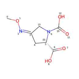 CON=C1C[C@@H](C(=O)O)N(C(=O)O)C1